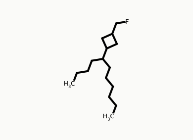 CCCCCCC(CCCC)C1CC(CF)C1